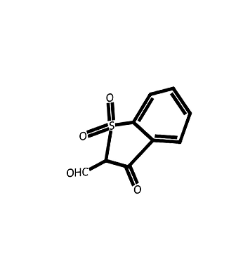 O=CC1C(=O)c2ccccc2S1(=O)=O